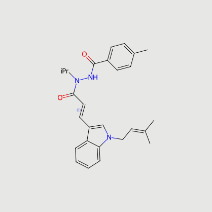 CC(C)=CCn1cc(/C=C/C(=O)N(NC(=O)c2ccc(C)cc2)C(C)C)c2ccccc21